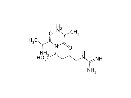 CC(N)C(=O)N(C(=O)C(C)N)C(CCCNC(=N)N)C(=O)O